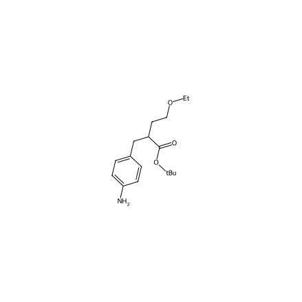 CCOCCC(Cc1ccc(N)cc1)C(=O)OC(C)(C)C